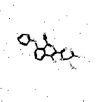 C[C@H](NC(=O)c1nc(C#N)c2c(Oc3ccccc3)cccc2c1O)C(=O)O